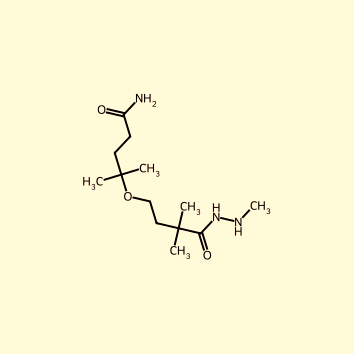 CNNC(=O)C(C)(C)CCOC(C)(C)CCC(N)=O